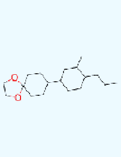 CCCC1CCC(C2CCC3(CC2)OCCO3)CC1C